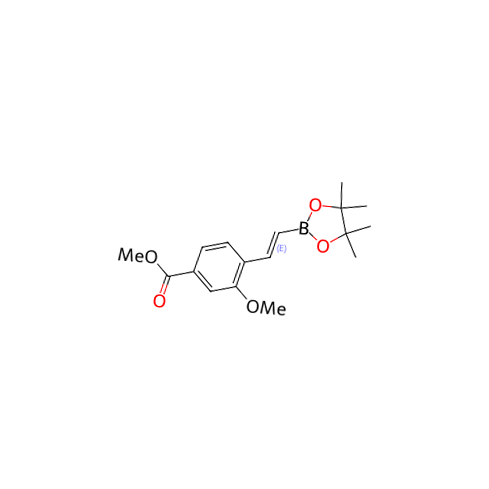 COC(=O)c1ccc(/C=C/B2OC(C)(C)C(C)(C)O2)c(OC)c1